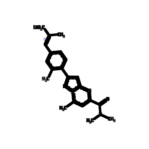 CCOC(=O)/C(C)=C/c1ccc(-c2cc3nc(C(=O)N(C)C)cc(C)n3n2)c(C)c1